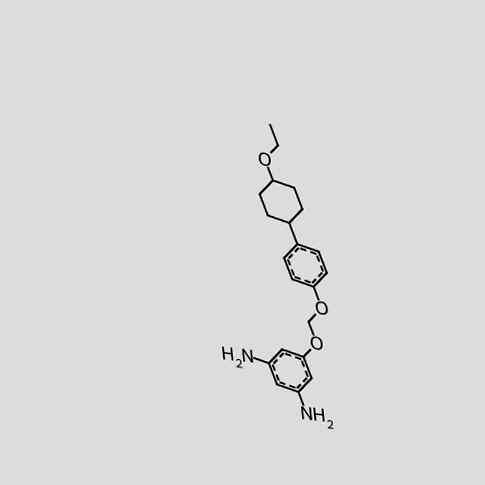 CCOC1CCC(c2ccc(OCOc3cc(N)cc(N)c3)cc2)CC1